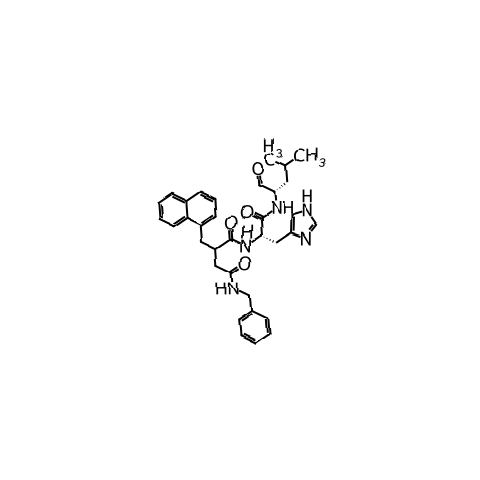 CC(C)C[C@@H](C=O)NC(=O)[C@H](Cc1c[nH]cn1)NC(=O)C(CC(=O)NCc1ccccc1)Cc1cccc2ccccc12